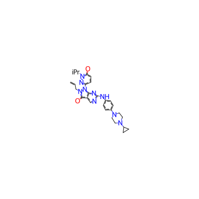 C=CCn1c(=O)c2cnc(Nc3ccc(N4CCN(C5CC5)CC4)cc3)nc2n1-c1ccc(=O)n(C(C)C)n1